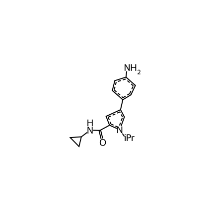 CC(C)n1cc(-c2ccc(N)cc2)cc1C(=O)NC1CC1